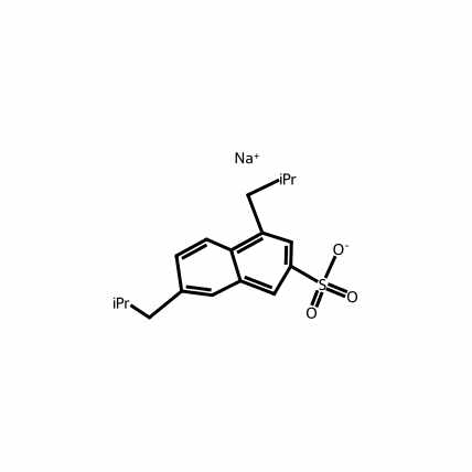 CC(C)Cc1ccc2c(CC(C)C)cc(S(=O)(=O)[O-])cc2c1.[Na+]